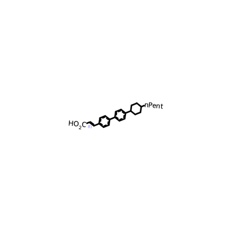 CCCCCC1CCC(c2ccc(-c3ccc(/C=C/C(=O)O)cc3)cc2)CC1